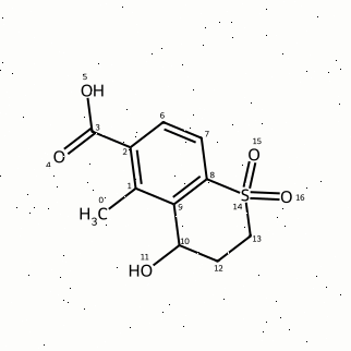 Cc1c(C(=O)O)ccc2c1C(O)CCS2(=O)=O